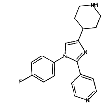 Fc1ccc(-n2cc(C3CCNCC3)nc2-c2ccncc2)cc1